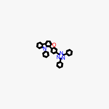 c1ccc(-c2nc(-c3ccccc3)nc(-c3ccc4c(c3)oc3ccc5c6ccccc6n(-c6ccccc6)c5c34)n2)cc1